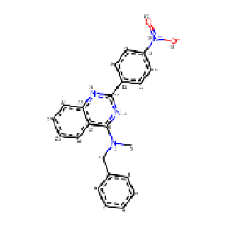 CN(Cc1ccccc1)c1nc(-c2ccc([N+](=O)[O-])cc2)nc2ccccc12